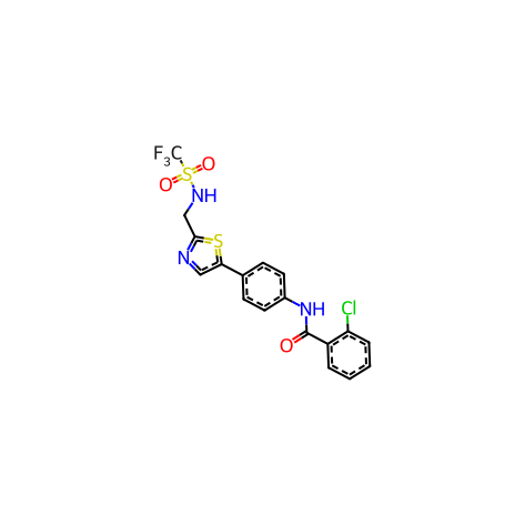 O=C(Nc1ccc(-c2cnc(CNS(=O)(=O)C(F)(F)F)s2)cc1)c1ccccc1Cl